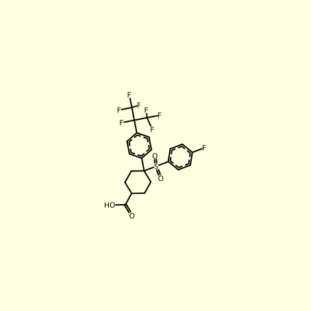 O=C(O)C1CCC(c2ccc(C(F)(C(F)(F)F)C(F)(F)F)cc2)(S(=O)(=O)c2ccc(F)cc2)CC1